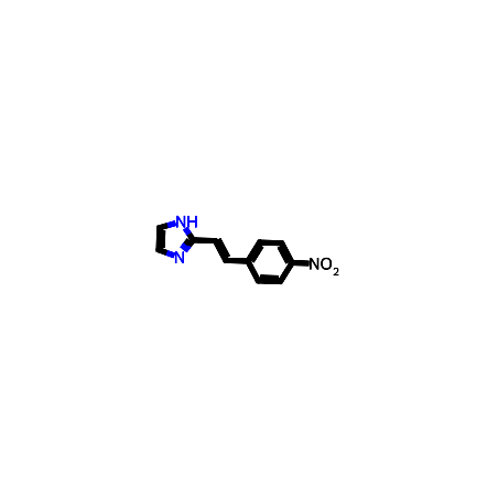 O=[N+]([O-])c1ccc(/C=C/c2ncc[nH]2)cc1